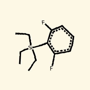 CC[Si](CC)(CC)c1c(F)cccc1F